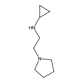 C1CCN(CCNC2CC2)C1